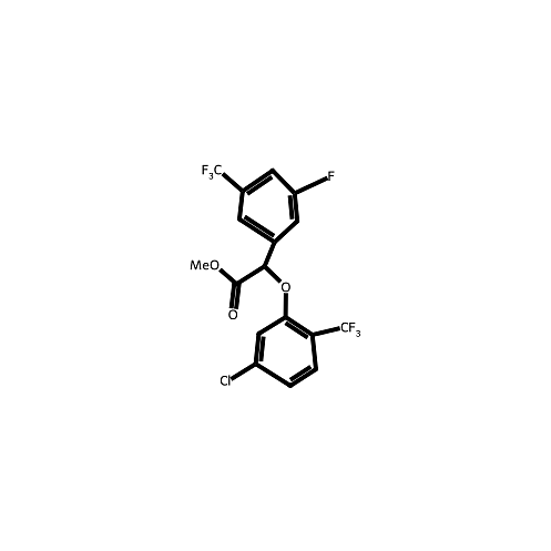 COC(=O)C(Oc1cc(Cl)ccc1C(F)(F)F)c1cc(F)cc(C(F)(F)F)c1